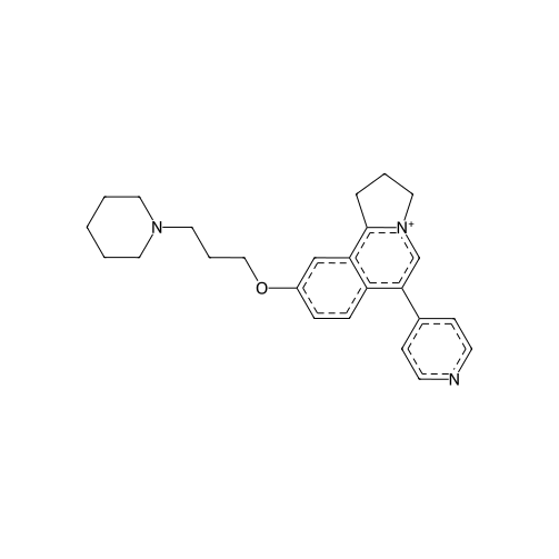 c1cc(-c2c[n+]3c(c4cc(OCCCN5CCCCC5)ccc24)CCC3)ccn1